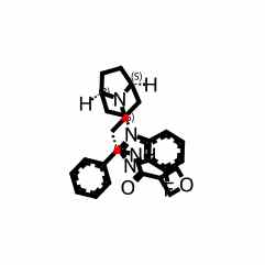 O=C(N[C@@H](CCN1[C@@H]2CC[C@H]1C[C@H](n1cnc3c(F)cccc31)C2)c1ccccc1)C1COC1